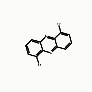 CCc1cccc2nc3c(Br)cccc3nc12